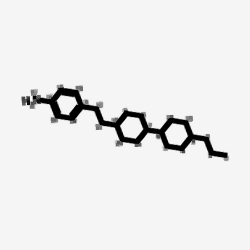 CCCC1CCC(C2CCC(CCc3ccc(N)cc3)CC2)CC1